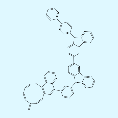 C=C1/C=C\C=C/Cc2c(cc(-c3cccc(-n4c5ccccc5c5cc(-c6ccc7c(c6)c6ccccc6n7-c6ccc(-c7ccccc7)cc6)ccc54)c3)c3ccccc23)/C=C\1